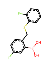 OB(O)c1cc(F)ccc1CSc1ccccc1F